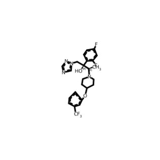 C[C@@H](N1CCC(Oc2cccc(C(F)(F)F)c2)CC1)[C@](O)(Cn1cncn1)c1ccc(F)cc1F